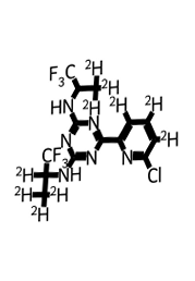 [2H]c1c(Cl)nc(-c2nc(NC(C([2H])([2H])[2H])C(F)(F)F)nc(NC([2H])(C([2H])([2H])[2H])C(F)(F)F)n2)c([2H])c1[2H]